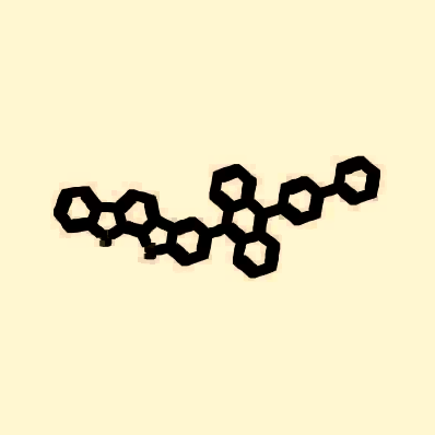 c1ccc(-c2ccc(-c3c4ccccc4c(-c4ccc5sc6c(ccc7c8ccccc8sc76)c5c4)c4ccccc34)cc2)cc1